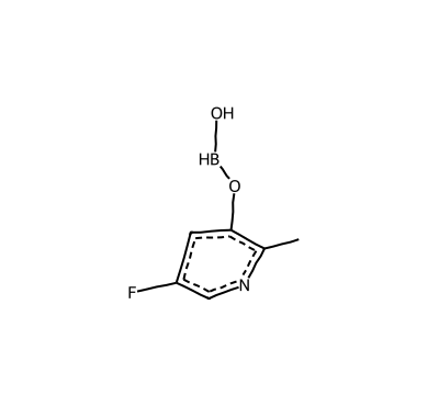 Cc1ncc(F)cc1OBO